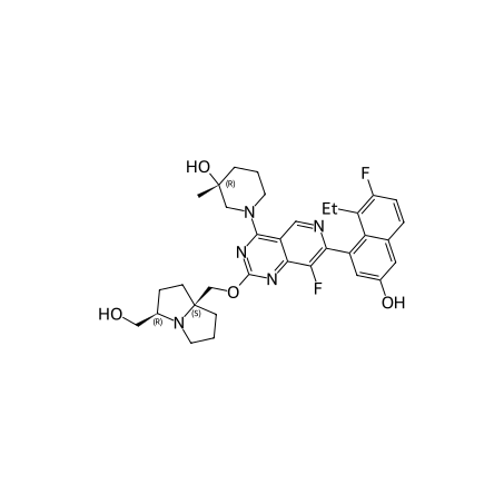 CCc1c(F)ccc2cc(O)cc(-c3ncc4c(N5CCC[C@@](C)(O)C5)nc(OC[C@@]56CCCN5[C@@H](CO)CC6)nc4c3F)c12